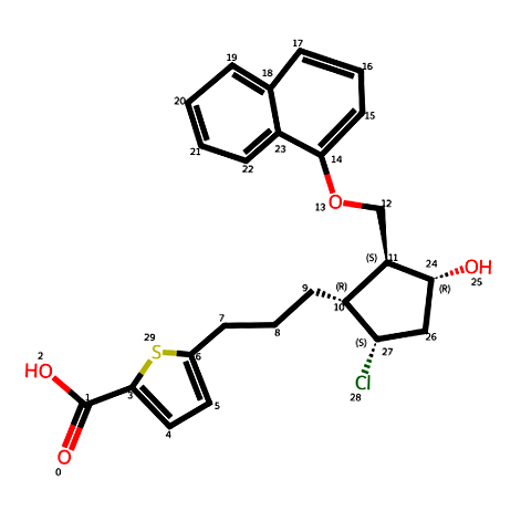 O=C(O)c1ccc(CCC[C@@H]2[C@@H](COc3cccc4ccccc34)[C@H](O)C[C@@H]2Cl)s1